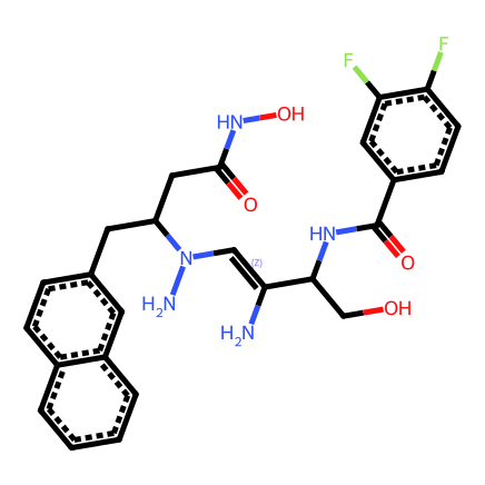 N/C(=C\N(N)C(CC(=O)NO)Cc1ccc2ccccc2c1)C(CO)NC(=O)c1ccc(F)c(F)c1